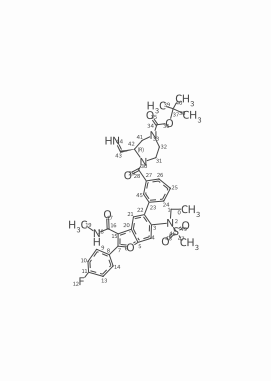 CCN(c1cc2oc(-c3ccc(F)cc3)c(C(=O)NC)c2cc1-c1cccc(C(=O)N2CCN(C(=O)OC(C)(C)C)C[C@@H]2C=N)c1)S(C)(=O)=O